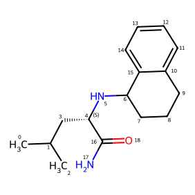 CC(C)C[C@H](NC1CCCc2ccccc21)C(N)=O